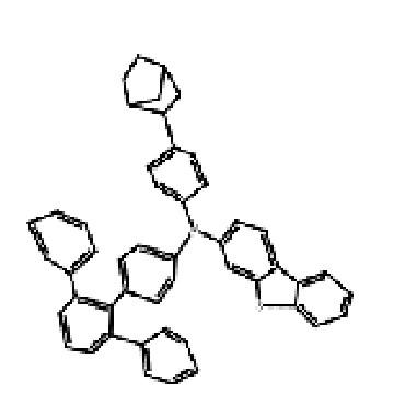 c1ccc(-c2cccc(-c3ccccc3)c2-c2ccc(N(c3ccc(C4CC5CCC4C5)cc3)c3ccc4c(c3)sc3ccccc34)cc2)cc1